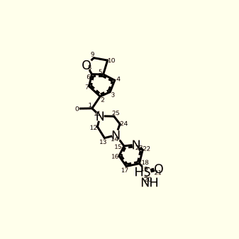 CC(c1ccc2c(c1)OCC2)N1CCN(c2ccc([SH](=N)=O)cn2)CC1